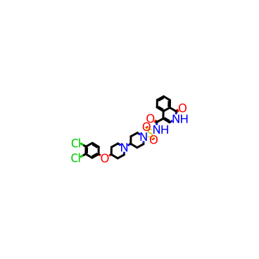 O=C(NS(=O)(=O)N1CCC(N2CCC(Oc3ccc(Cl)c(Cl)c3)CC2)CC1)c1c[nH]c(=O)c2ccccc12